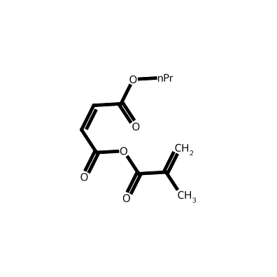 C=C(C)C(=O)OC(=O)/C=C\C(=O)OCCC